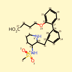 CS(=O)(=O)NC1CCCNC1Cc1cccc(-c2ccccc2OCCCC(=O)O)c1